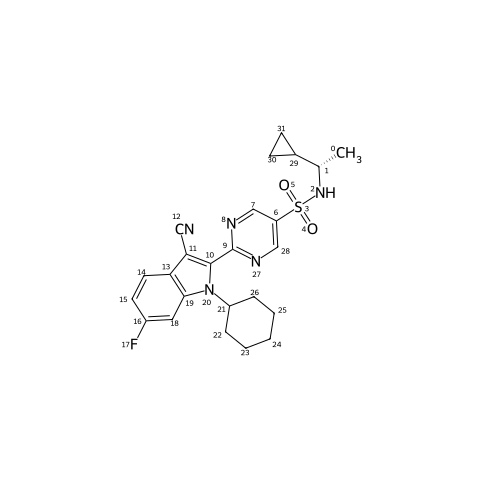 C[C@H](NS(=O)(=O)c1cnc(-c2c(C#N)c3ccc(F)cc3n2C2CCCCC2)nc1)C1CC1